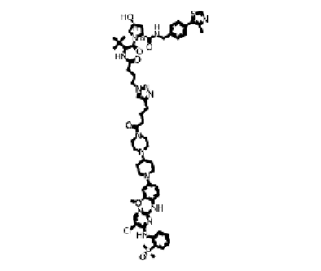 COc1cc(N2CCC(N3CCN(C(=O)CCCc4cn(CCCC(=O)NC(C(=O)N5C[C@H](O)C[C@H]5C(=O)NCc5ccc(-c6scnc6C)cc5)C(C)(C)C)nn4)CC3)CC2)ccc1Nc1ncc(Cl)c(Nc2ccccc2P(C)(C)=O)n1